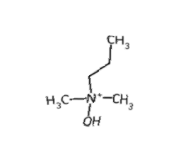 CCC[N+](C)(C)O